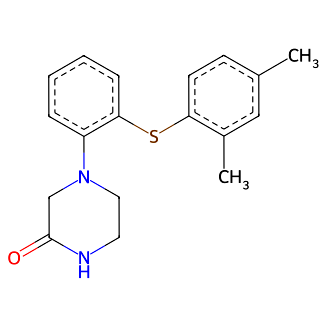 Cc1ccc(Sc2ccccc2N2CCNC(=O)C2)c(C)c1